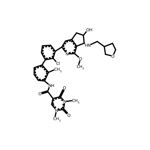 COc1nc(-c2cccc(-c3cccc(NC(=O)c4cn(C)c(=O)n(C)c4=O)c3C)c2Cl)cc2c1C(NCC1CCOC1)C(O)C2